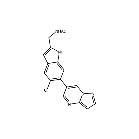 CC(=O)NCc1cc2cc(Cl)c(-c3cnc4ccnn4c3)cc2[nH]1